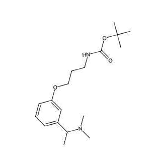 CC(c1cccc(OCCCNC(=O)OC(C)(C)C)c1)N(C)C